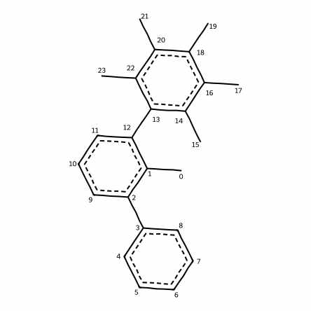 Cc1c(-c2ccccc2)cccc1-c1c(C)c(C)c(C)c(C)c1C